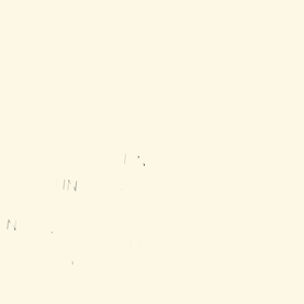 COC(=N)NC(=O)NCc1ccccc1